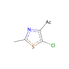 CC(=O)c1nc(C)sc1Cl